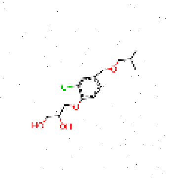 CC(C)COCc1ccc(OCC(O)CO)c(Cl)c1